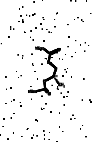 CCCCCCCCCC(=O)OC[C@H](C)OC(=O)CCCCCCCCC